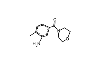 Cc1ccc(C(=O)N2CCOCC2)cc1N